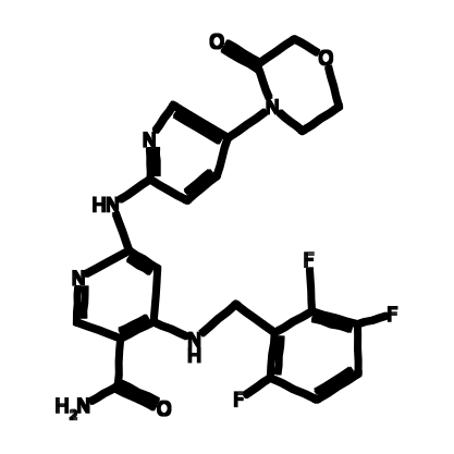 NC(=O)c1cnc(Nc2ccc(N3CCOCC3=O)cn2)cc1NCc1c(F)ccc(F)c1F